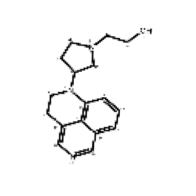 OCCN1CCC(N2CCc3cncc4cccc2c34)C1